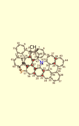 CC1(c2ccccc2)c2ccccc2-c2ccc(-c3ccccc3N(c3ccccc3-c3cccc4cccc(-c5ccccc5)c34)c3ccccc3-c3cccc4sc5ccccc5c34)cc21